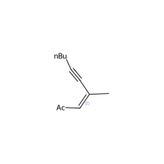 CCCCC#C/C(C)=C\C(C)=O